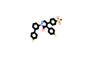 CS(=O)(=O)c1ccc(-c2cnn(-c3cccc(-c4ccc(F)cc4)c3)c(=O)c2-c2ccc(F)cc2)cc1